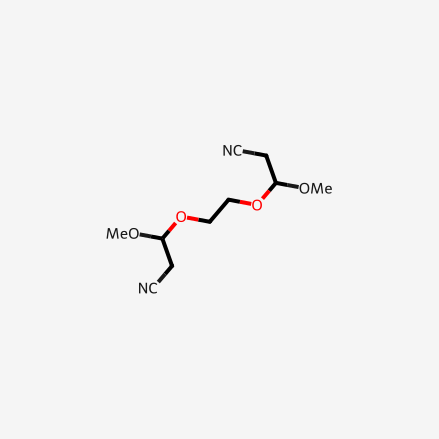 COC(CC#N)OCCOC(CC#N)OC